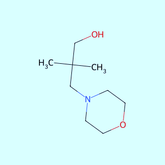 CC(C)(CO)CN1CCOCC1